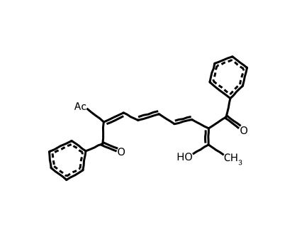 CC(=O)C(=CC=CC=C/C(C(=O)c1ccccc1)=C(/C)O)C(=O)c1ccccc1